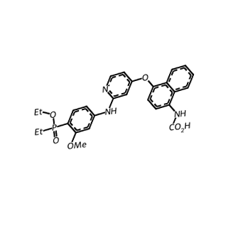 CCOP(=O)(CC)c1ccc(Nc2cc(Oc3ccc(NC(=O)O)c4ccccc34)ccn2)cc1OC